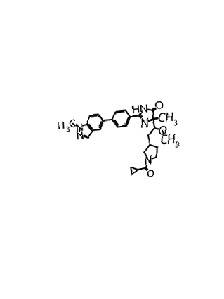 COC(C[C@H]1CCN(C(=O)C2CC2)C1)C1(C)N=C(c2ccc(-c3ccc4c(cnn4C)c3)cc2)NC1=O